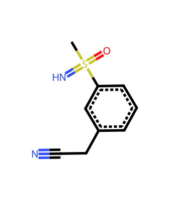 CS(=N)(=O)c1cccc(CC#N)c1